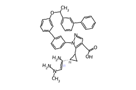 CC(Oc1cccc(-c2cccc(-n3ncc(C(=O)O)c3C3C[C@@H]3/C(N)=C/N(C)N)c2)c1)c1cccc(-c2ccccc2)c1